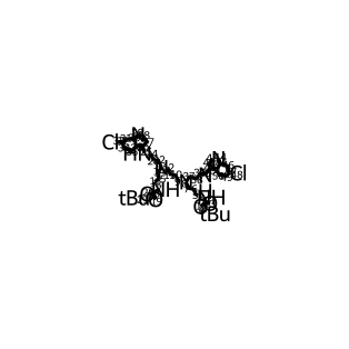 CC(C)(C)OC(=O)NCCCN(CCCCN(CCCNC(=O)OC(C)(C)C)CCCNc1ccnc2cc(Cl)ccc12)CCCNc1ccnc2cc(Cl)ccc12